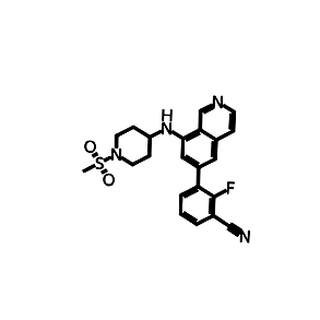 CS(=O)(=O)N1CCC(Nc2cc(-c3cccc(C#N)c3F)cc3ccncc23)CC1